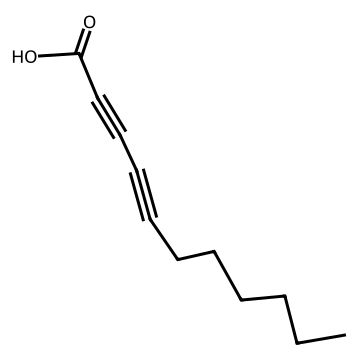 CCCCCCC#CC#CC(=O)O